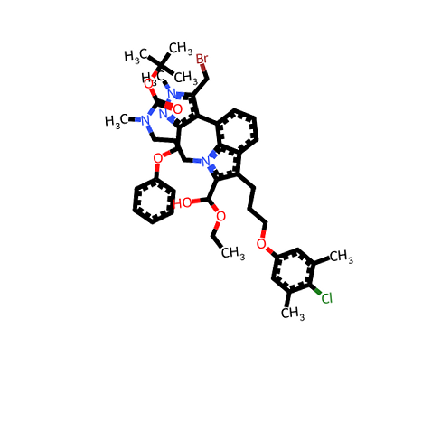 CCOC(O)c1c(CCCOc2cc(C)c(Cl)c(C)c2)c2cccc(-c3c(COc4ccccc4)nn(C)c3CBr)c2n1CCCN(C)C(=O)OC(C)(C)C